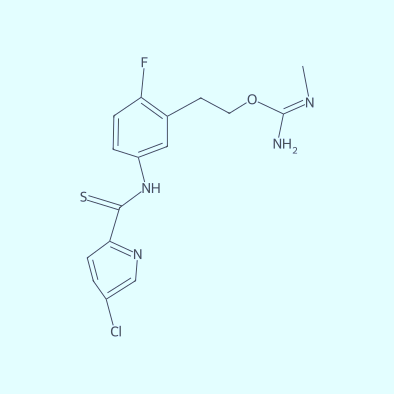 C/N=C(/N)OCCc1cc(NC(=S)c2ccc(Cl)cn2)ccc1F